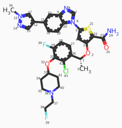 C[C@@H](Oc1cc(-n2cnc3cc(-c4cnn(C)c4)ccc32)sc1C(N)=O)c1ccc(F)c(OC2CCN(CCF)CC2)c1Cl